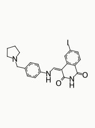 O=C1NC(=O)c2ccc(I)cc2/C1=C/Nc1ccc(CN2CCCC2)cc1